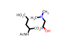 CC(=O)NC(CCC(=O)O)C(=O)O.CN(C)CCO